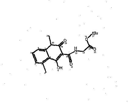 Cc1cccc2c1C(O)=C(C(=O)NCC(=O)OC(C)(C)C)C(=O)C2C